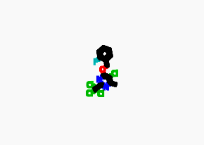 Cc1nc(C(Cl)(Cl)Cl)nc(OCc2ccccc2F)c1Cl